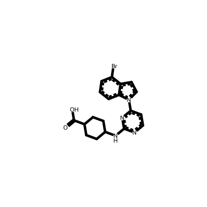 O=C(O)C1CCC(Nc2nccc(-n3ccc4c(Br)cccc43)n2)CC1